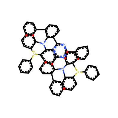 c1ccc(-c2nc(-c3cccc(-c4ccccc4)c3N3c4ccccc4[SH](c4ccccc4)c4ccccc43)nc(-c3cccc(-c4ccccc4)c3N3c4ccccc4[SH](c4ccccc4)c4ccccc43)n2)cc1